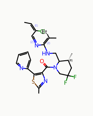 C\C=C(Cl)/C=N\C(NCC1[C@H](C)CC(F)(F)CN1C(=O)c1nc(C)sc1-c1ccccn1)=C(\C)CC